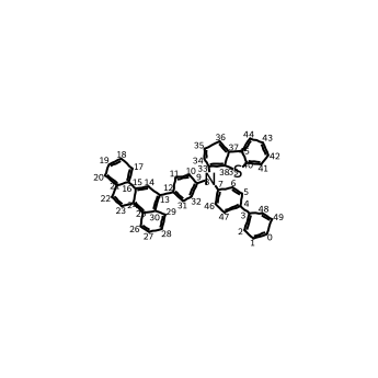 c1ccc(-c2ccc(N(c3ccc(-c4cc5c6ccccc6ccc5c5ccccc45)cc3)c3cccc4c3sc3ccccc34)cc2)cc1